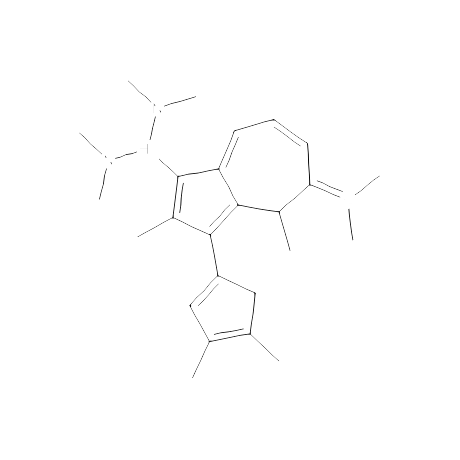 CC1=C(C)CC(C2=C3C(=CC=CC(=[Si](C)C)C3C)[C]([Hf]([N](C)C)[N](C)C)=C2C)=C1